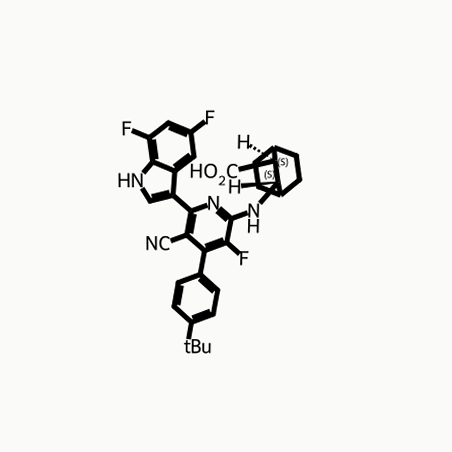 CC(C)(C)c1ccc(-c2c(F)c(N[C@H]3C4CCC(CC4)[C@@H]3C(=O)O)nc(-c3c[nH]c4c(F)cc(F)cc34)c2C#N)cc1